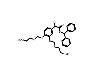 COCCOCOc1ccc(C(Cl)C(=O)OC(c2ccccc2)c2ccccc2)cc1OCOCCOC